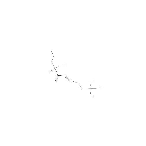 CCCC(C)(C)C(=O)/C=C/SCC(C)(C)C